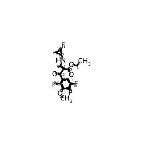 CCOC(=O)C(=CN[C@H]1C[C@H]1F)C(=O)c1cc(F)c(F)c(OC)c1F